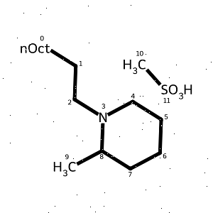 CCCCCCCCCCN1CCCCC1C.CS(=O)(=O)O